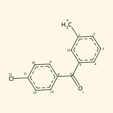 Cc1cccc(C(=O)c2ccc(Cl)cc2)c1